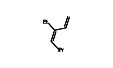 C=CC(=CC(C)C)CC